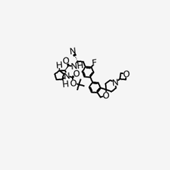 CC(C)(C)OC(=O)N1[C@@H]2CC[C@@H](C2)[C@H]1C(=O)N[C@H](C#N)Cc1ccc(-c2ccc3c(c2)C2(CCN(C4COC4)CC2)OC3)cc1F